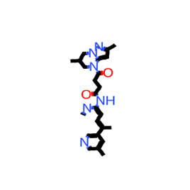 C=N/C(=C\C=C(/C)c1cncc(C)c1)NC(=O)CCC(=O)N1CC(C)Cn2nc(C)cc21